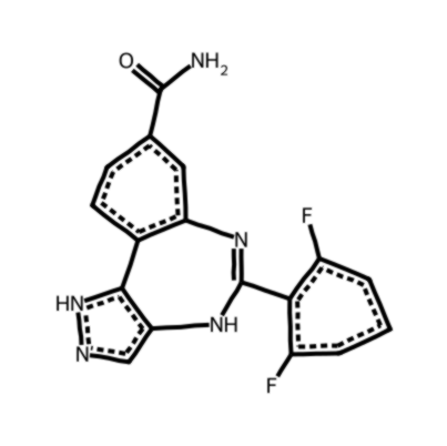 NC(=O)c1ccc2c(c1)N=C(c1c(F)cccc1F)Nc1cn[nH]c1-2